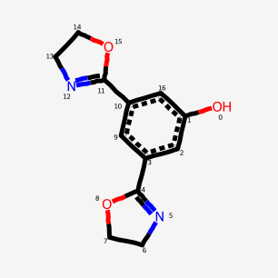 Oc1cc(C2=NCCO2)cc(C2=NCCO2)c1